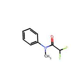 CN(C(=O)C(F)F)c1ccccc1